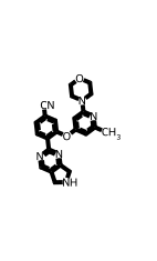 Cc1cc(Oc2cc(C#N)ccc2-c2ncc3c(n2)CNC3)cc(N2CCOCC2)n1